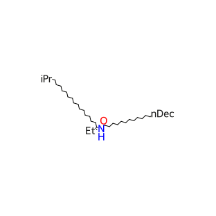 CCCCCCCCCCCCCCCCCCCCCC(=O)N[C](CC)CCCCCCCCCCCCCCCC(C)C